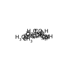 CC(=O)O.CC1(C)Cc2cccc(CN3CCC4(CC3)CCN(C(=O)c3ccc5cc[nH]c5c3)CC4)c2O1